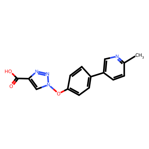 Cc1ccc(-c2ccc(On3cc(C(=O)O)nn3)cc2)cn1